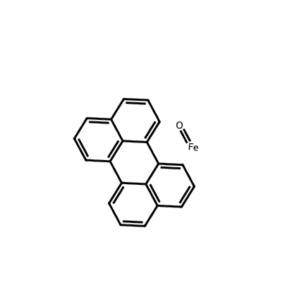 [O]=[Fe].c1cc2cccc3c4cccc5cccc(c(c1)c23)c54